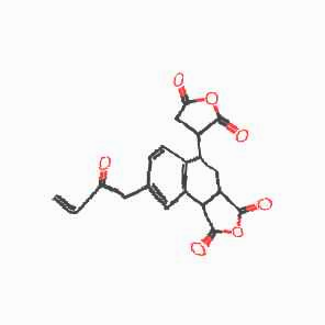 C=CC(=O)Cc1ccc2c(c1)C1C(=O)OC(=O)C1CC2C1CC(=O)OC1=O